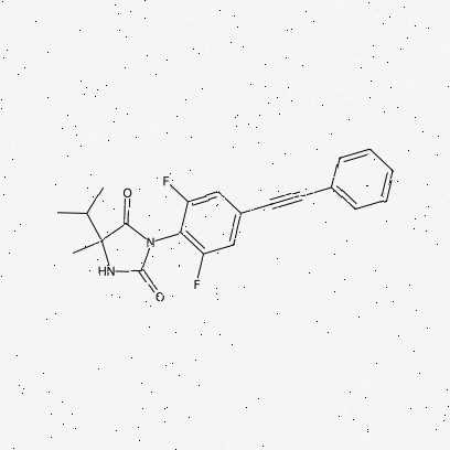 CC(C)C1(C)NC(=O)N(c2c(F)cc(C#Cc3ccccc3)cc2F)C1=O